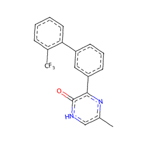 Cc1c[nH]c(=O)c(-c2cccc(-c3ccccc3C(F)(F)F)c2)n1